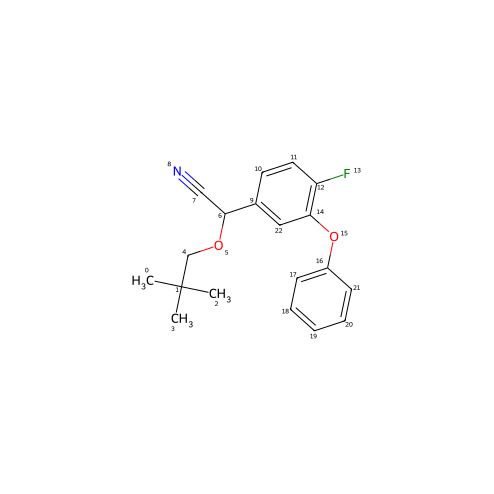 CC(C)(C)COC(C#N)c1ccc(F)c(Oc2ccccc2)c1